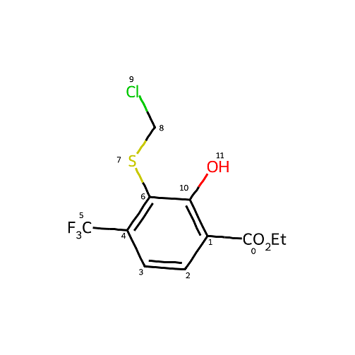 CCOC(=O)c1ccc(C(F)(F)F)c(SCCl)c1O